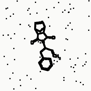 C=CC(Cc1ccccc1)N1C(=O)C2C3C=CC(C3)C2C1=O